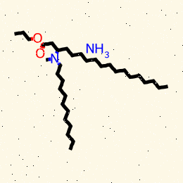 CCCCCCCCCCCCCCCC(CC(=O)OCCC)N(C)CCCCCCCCCCCC.N